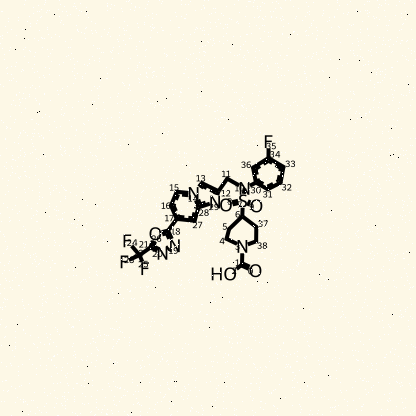 O=C(O)N1CCC(S(=O)(=O)N(Cc2cn3ccc(-c4nnc(C(F)(F)F)o4)cc3n2)c2cccc(F)c2)CC1